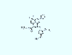 CCOC(=O)c1cn(Cc2ccc(OC)cc2OC)c2nc(N3CCCC3)cc(C(F)(F)F)c2c1=O